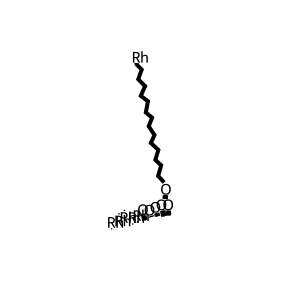 C=O.C=O.C=O.C=O.C=O.C=O.CCCCCCCCCCCCCCC[CH2][Rh].[Rh].[Rh].[Rh].[Rh].[Rh]